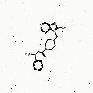 Cc1nc2cnccc2n1CC1CCN(C(=O)CN(C)c2ccccc2)CC1